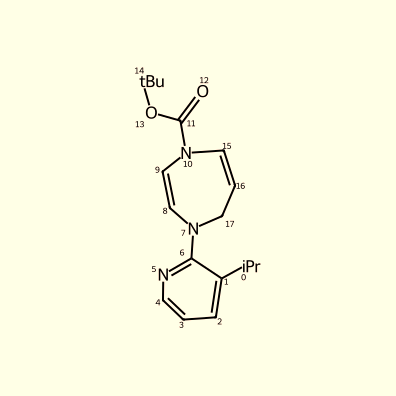 CC(C)c1cccnc1N1C=CN(C(=O)OC(C)(C)C)C=CC1